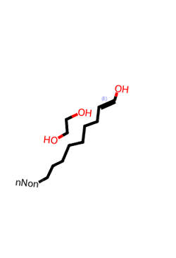 CCCCCCCCCCCCCCCC/C=C/O.OCCO